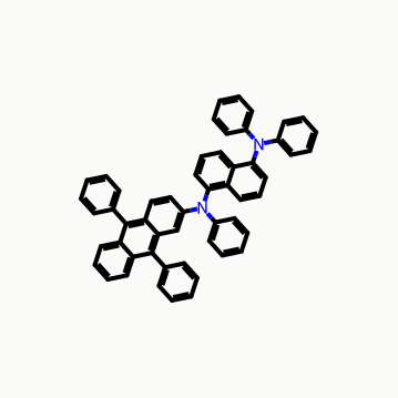 c1ccc(-c2c3ccccc3c(-c3ccccc3)c3cc(N(c4ccccc4)c4cccc5c(N(c6ccccc6)c6ccccc6)cccc45)ccc23)cc1